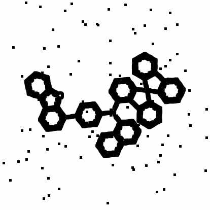 c1ccc2c(c1)-c1ccccc1C21c2ccccc2-c2c(N(c3ccc(-c4cccc5c4oc4ccccc45)cc3)c3cccc4ccccc34)cccc21